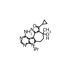 CC(C)n1c2c(c3c(N)ncnc31)-c1noc(C3CC3)c1C(C)(O)CC2